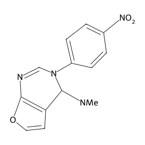 CNC1c2ccoc2N=CN1c1ccc([N+](=O)[O-])cc1